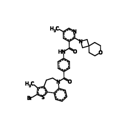 Cc1cnc(N2CC3(CCOCC3)C2)c(C(=O)Nc2ccc(C(=O)N3CCc4c(sc(Br)c4C)-c4ccccc43)cc2)c1